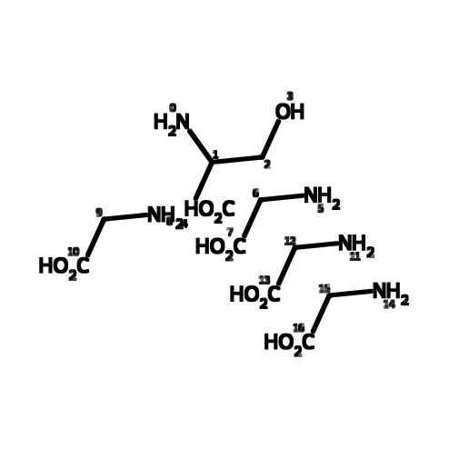 NC(CO)C(=O)O.NCC(=O)O.NCC(=O)O.NCC(=O)O.NCC(=O)O